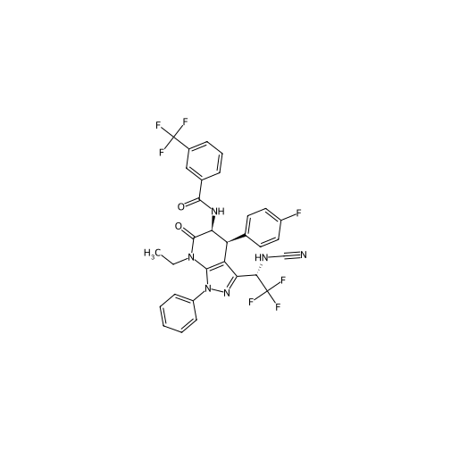 CCN1C(=O)[C@@H](NC(=O)c2cccc(C(F)(F)F)c2)[C@@H](c2ccc(F)cc2)c2c([C@H](NC#N)C(F)(F)F)nn(-c3ccccc3)c21